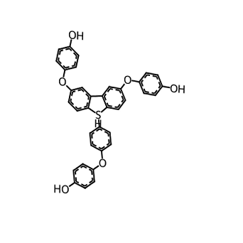 Oc1ccc(Oc2ccc([SH]3c4ccc(Oc5ccc(O)cc5)cc4-c4cc(Oc5ccc(O)cc5)ccc43)cc2)cc1